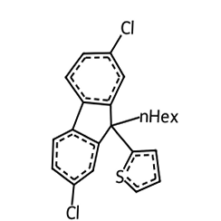 CCCCCCC1(c2cccs2)c2cc(Cl)ccc2-c2ccc(Cl)cc21